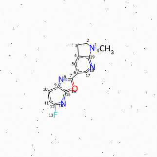 CN1CCc2cc(-c3nc4ccc(F)nc4o3)cnc21